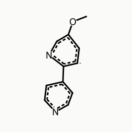 COc1c[c]c(-c2ccncc2)nc1